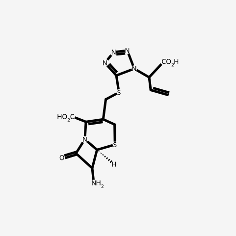 C=CC(C(=O)O)n1nnnc1SCC1=C(C(=O)O)N2C(=O)C(N)[C@@H]2SC1